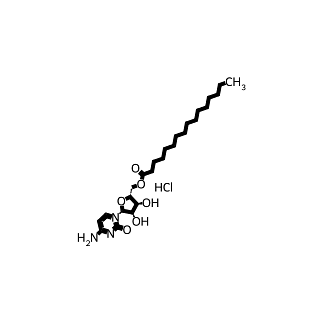 CCCCCCCCCCCCCCCC(=O)OC[C@H]1O[C@@H](n2ccc(N)nc2=O)[C@@H](O)[C@@H]1O.Cl